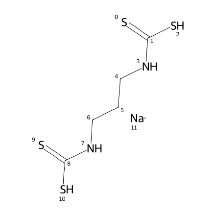 S=C(S)NCCCNC(=S)S.[Na]